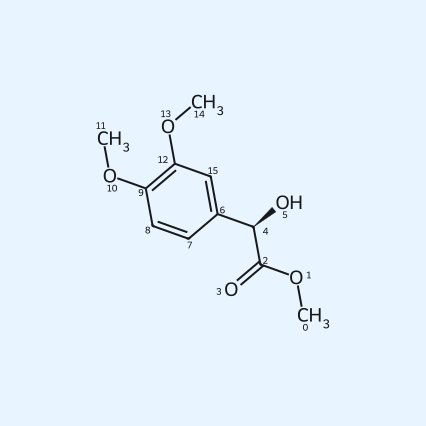 COC(=O)[C@H](O)c1ccc(OC)c(OC)c1